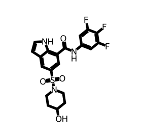 O=C(Nc1cc(F)c(F)c(F)c1)c1cc(S(=O)(=O)N2CCC(O)CC2)cc2cc[nH]c12